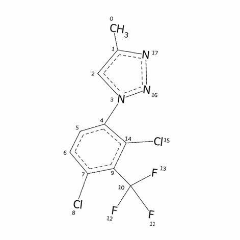 Cc1cn(-c2ccc(Cl)c(C(F)(F)F)c2Cl)nn1